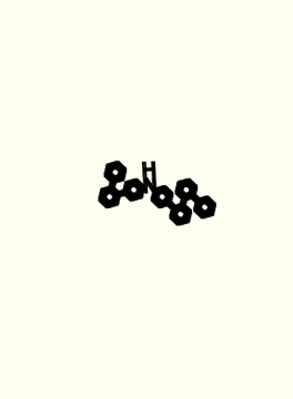 c1ccc(-c2ccccc2-c2ccc(Nc3ccc(-c4ccccc4-c4ccccc4-c4ccccc4)cc3)cc2)cc1